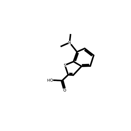 CN(C)c1cccc2cc(C(=O)O)sc12